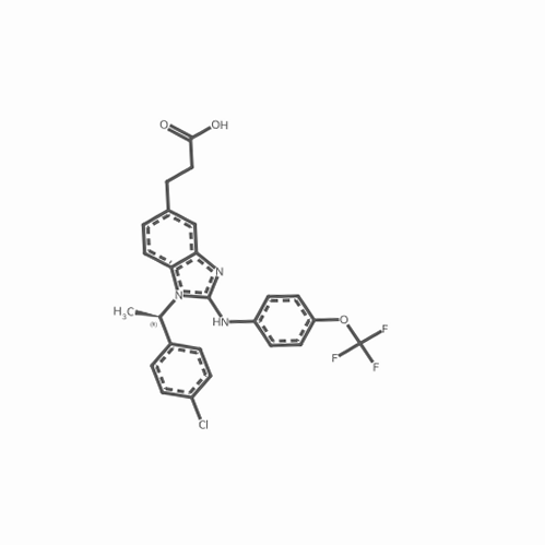 C[C@H](c1ccc(Cl)cc1)n1c(Nc2ccc(OC(F)(F)F)cc2)nc2cc(CCC(=O)O)ccc21